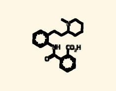 CN1CCCCC1CCc1ccccc1NC(=O)c1ccccc1C(=O)O